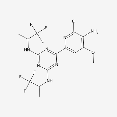 COc1cc(-c2nc(NC(C)C(F)(F)F)nc(NC(C)C(F)(F)F)n2)nc(Cl)c1N